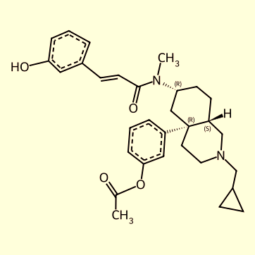 CC(=O)Oc1cccc([C@@]23CCN(CC4CC4)C[C@H]2CC[C@@H](N(C)C(=O)C=Cc2cccc(O)c2)C3)c1